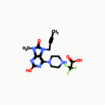 CC#CCn1c(=O)n(C)c2nc(O)nc(N3CCNCC3)c21.O=C(O)C(F)(F)F